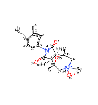 Cc1cc(N2C(=O)[C@@H]3[C@H](C2=O)[C@@]2(C)C[N+](O)(C(C)C)C[C@]3(C)O2)ccc1C#N